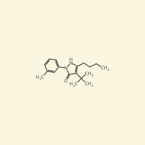 CCCCc1[nH]n(-c2cccc(C)c2)c(=O)c1C(C)(C)C